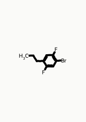 CCCc1cc(F)c(Br)cc1F